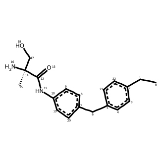 CCc1ccc(Cc2ccc(NC(=O)[C@@](C)(N)CO)cc2)cc1